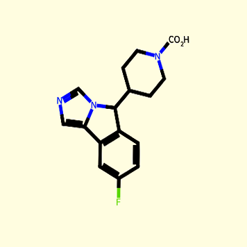 O=C(O)N1CCC(C2c3ccc(F)cc3-c3cncn32)CC1